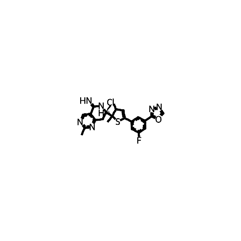 Cc1ncc2c(n1)C[C@@](C)(C1(C)SC(c3cc(F)cc(-c4nnco4)c3)=CC1Cl)NC2=N